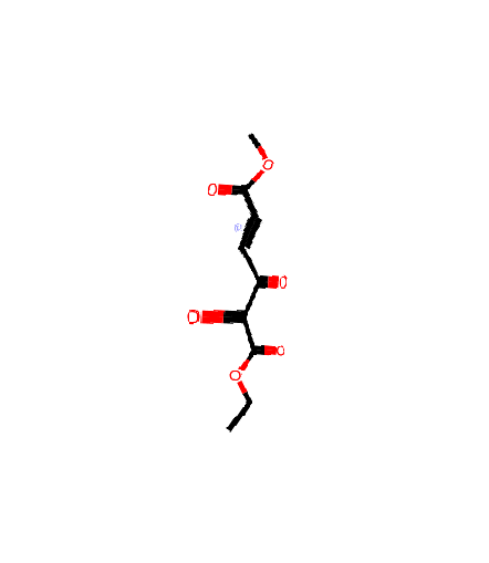 CCOC(=O)C(=O)C(=O)/C=C/C(=O)OC